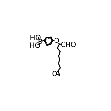 O=CC(CCCCCCC1CO1)Oc1ccc(B(O)O)cc1